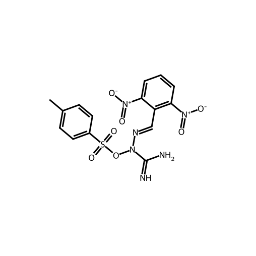 Cc1ccc(S(=O)(=O)ON(N=Cc2c([N+](=O)[O-])cccc2[N+](=O)[O-])C(=N)N)cc1